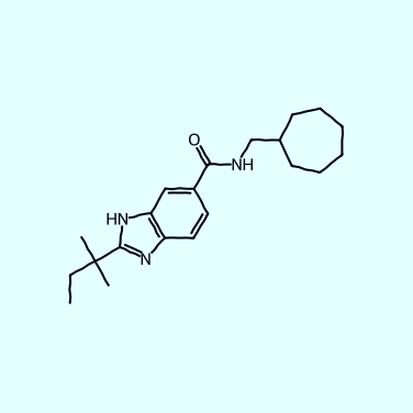 CCC(C)(C)c1nc2ccc(C(=O)NCC3CCCCCC3)cc2[nH]1